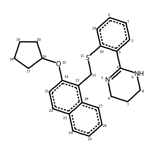 c1ccc(C2=NCCCN2)c(SCc2c(OC3CCCC3)ccc3ccccc23)c1